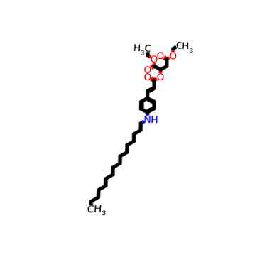 CCCCCCCCCCCCCCCCNc1ccc(/C=C/C(=O)OC(CC(=O)OCC)C(=O)OCC)cc1